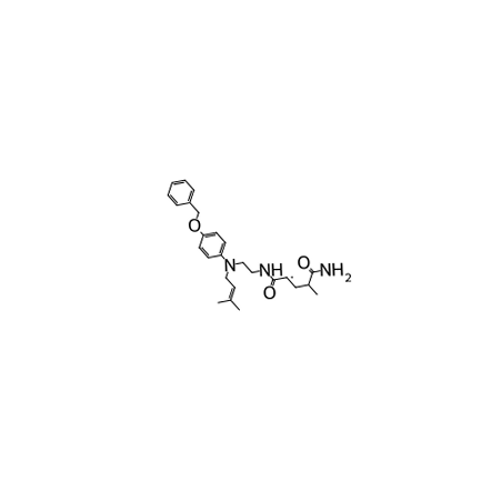 CC(C)=CCN(CCNC(=O)[CH]CC(C)C(N)=O)c1ccc(OCc2ccccc2)cc1